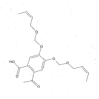 C/C=C\COCOc1cc(C(C)=O)c(C(=O)O)cc1OCOC/C=C\C